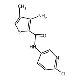 Cc1csc(C(=O)Nc2ccc(Cl)nc2)c1N